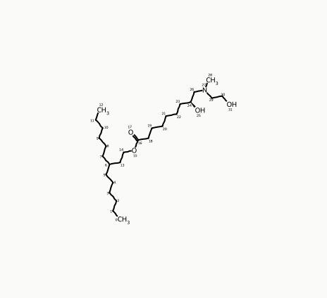 CCCCCCC(CCCCCC)CCOC(=O)CCCCCC[C@H](O)CN(C)CCO